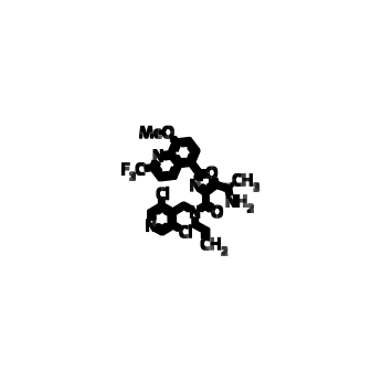 C=CCN(Cc1c(Cl)cncc1Cl)C(=O)c1nc(-c2ccc(OC)c3nc(C(F)(F)F)ccc23)oc1[C@H](C)N